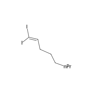 CCCCCCC=C(I)I